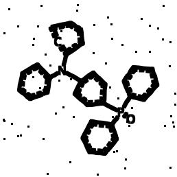 O=P(c1ccccc1)(c1ccccc1)c1ccc(N(c2ccccc2)c2ccccc2)cc1